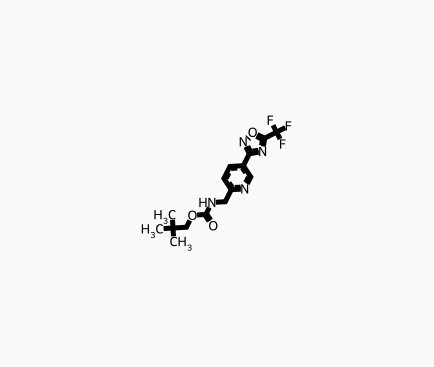 CC(C)(C)COC(=O)NCc1ccc(-c2noc(C(F)(F)F)n2)cn1